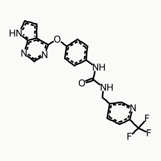 O=C(NCc1ccc(C(F)(F)F)nc1)Nc1ccc(Oc2ncnc3[nH]ccc23)cc1